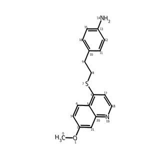 COc1ccc2c(SCCc3ccc(N)cc3)ccnc2c1